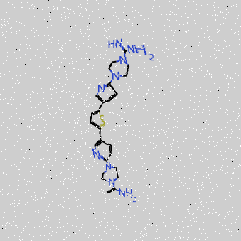 C=C(N)N1CCN(c2ccc(-c3ccc(-c4ccc(N5CCN(C(=N)N)CC5)nc4)s3)cn2)CC1